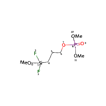 CO[Si](F)(F)CCCOP(=O)(OC)OC